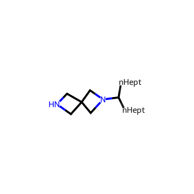 CCCCCCCC(CCCCCCC)N1CC2(CNC2)C1